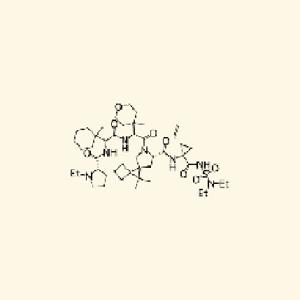 C=C[C@@H]1C[C@]1(NC(=O)[C@@H]1C[C@@]2(CN1C(=O)[C@@H](NC(=O)[C@@H](NC(=O)[C@@H]1CCCN1CC)C1(C)CCCCC1)C1(C)CCOCC1)C(C)(C)C21CCC1)C(=O)NS(=O)(=O)N(CC)CC